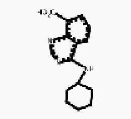 O=C(O)c1cccc2c(NC3CCCCC3)ncnc12